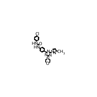 Cc1ccn(-c2nc(-c3ccc(NC(=O)Nc4ccc(Cl)cc4)cc3)nc(N3CCOCC3)n2)n1